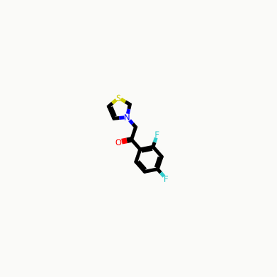 O=C(CN1C=CSC1)c1ccc(F)cc1F